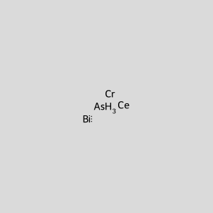 [AsH3].[Bi].[Ce].[Cr]